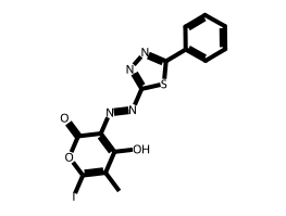 Cc1c(I)oc(=O)c(N=Nc2nnc(-c3ccccc3)s2)c1O